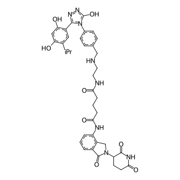 CC(C)c1cc(-c2nnc(O)n2-c2ccc(CNCCNC(=O)CCCC(=O)Nc3cccc4c3CN(C3CCC(=O)NC3=O)C4=O)cc2)c(O)cc1O